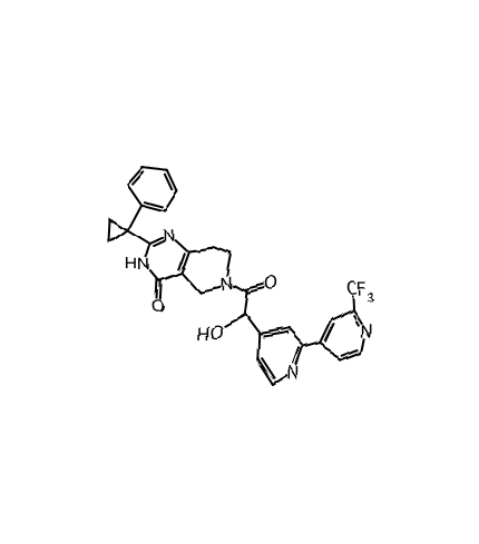 O=C(C(O)c1ccnc(-c2ccnc(C(F)(F)F)c2)c1)N1CCc2nc(C3(c4ccccc4)CC3)[nH]c(=O)c2C1